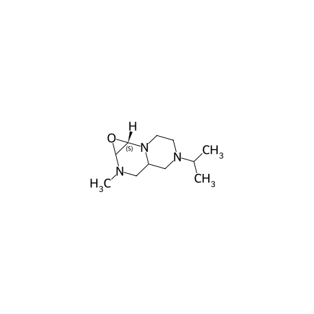 CC(C)N1CCN2C(CN(C)C3O[C@@H]32)C1